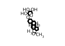 CC(=O)[C@H]1CC[C@H]2[C@@H]3CC=C4C[C@@H](OC5OC[C@@H](O)[C@H](O)[C@H]5O)CC[C@]4(C)[C@H]3CC[C@]12C